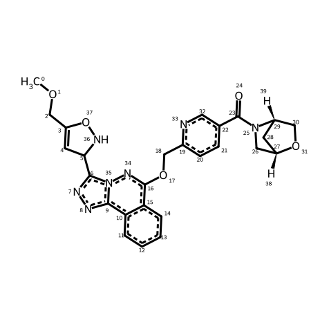 COCC1=CC(c2nnc3c4ccccc4c(OCc4ccc(C(=O)N5C[C@@H]6C[C@H]5CO6)cn4)nn23)NO1